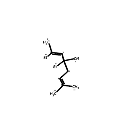 CC/C(C)=C\C(C#N)(CC)CC=C(C)C